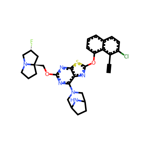 C#Cc1c(Cl)ccc2cccc(Oc3nc4c(N5CC6CCC(C5)N6)nc(OC[C@@]56CCCN5C[C@H](F)C6)nc4s3)c12